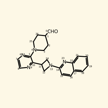 O=CC1CCN(c2nccnc2C2CN(c3ccc4ccccc4n3)C2)CC1